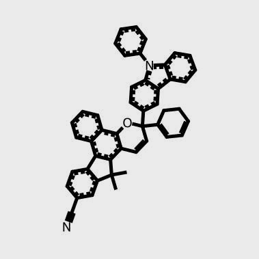 CC1(C)c2cc(C#N)ccc2-c2c1c1c(c3ccccc23)OC(C2=CC=CCC2)(c2ccc3c(c2)c2ccccc2n3-c2ccccc2)C=C1